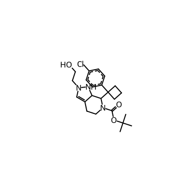 CC(C)(C)OC(=O)N1CCC2=CN(CCO)NC2C1C1(c2ccc(Cl)cc2)CCC1